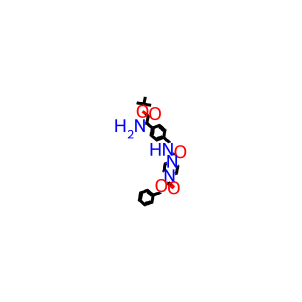 CC(C)(C)OC(=O)C(N)c1ccc(CNC(=O)N2CCN(C(=O)OCc3ccccc3)CC2)cc1